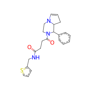 O=C(CCC(=O)N1CCN2C=CCC2C1c1ccccc1)NCc1cccs1